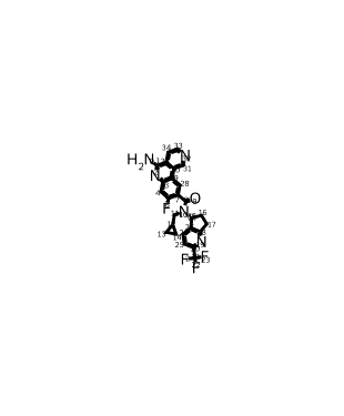 Nc1nc2cc(F)c(C(=O)N(CC3CC3)[C@@H]3CCc4nc(C(F)(F)F)ccc43)cc2c2cnccc12